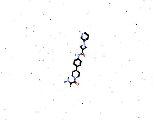 CC(C(=O)N1CCC(c2ccc(NC(=O)C3CN(c4cccnc4)C3)cc2)CC1)N(C)C